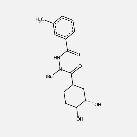 Cc1cccc(C(=O)NN(C(=O)C2CC[C@@H](O)[C@@H](O)C2)C(C)(C)C)c1